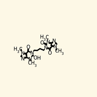 CN1c2ncn(C)c2C(=O)N(CCCCn2c(=O)c3c(ncn3C)n(C)c2=O)C1O